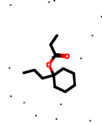 CCCC1(OC(=O)CC)CCCCC1